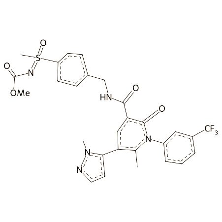 COC(=O)N=S(C)(=O)c1ccc(CNC(=O)c2cc(-c3ccnn3C)c(C)n(-c3cccc(C(F)(F)F)c3)c2=O)cc1